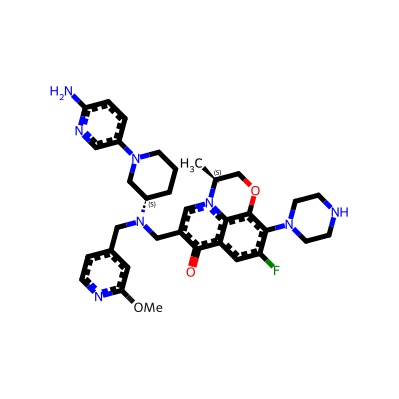 COc1cc(CN(Cc2cn3c4c(c(N5CCNCC5)c(F)cc4c2=O)OC[C@@H]3C)[C@H]2CCCN(c3ccc(N)nc3)C2)ccn1